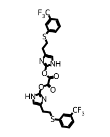 O=C(Oc1nc(CCSc2cccc(C(F)(F)F)c2)c[nH]1)C(=O)Oc1nc(CCSc2cccc(C(F)(F)F)c2)c[nH]1